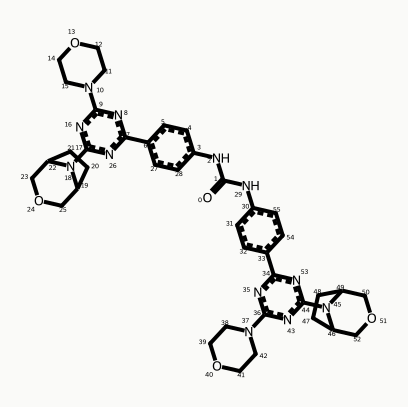 O=C(Nc1ccc(-c2nc(N3CCOCC3)nc(N3C4CCC3COC4)n2)cc1)Nc1ccc(-c2nc(N3CCOCC3)nc(N3C4CCC3COC4)n2)cc1